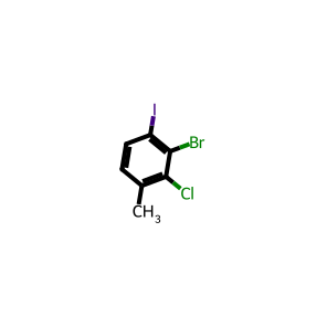 Cc1ccc(I)c(Br)c1Cl